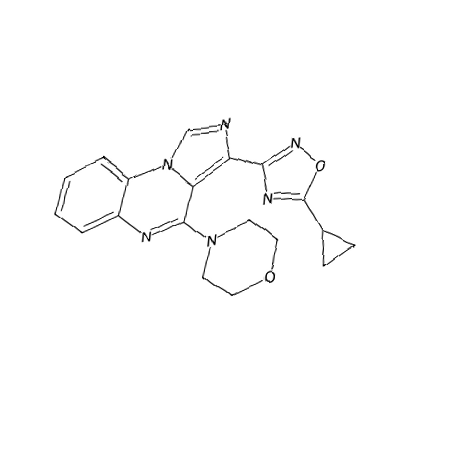 c1ccc2c(c1)nc(N1CCOCC1)c1c(-c3noc(C4CC4)n3)ncn12